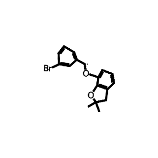 CC1(C)Cc2cccc(O[CH]c3cccc(Br)c3)c2O1